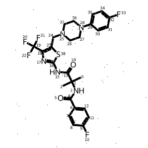 CC(C)(NC(=O)c1ccc(F)cc1)C(=O)Nc1nc(C(F)(F)F)c(CN2CCN(c3ccc(F)cc3)CC2)s1